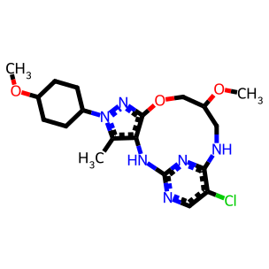 COC1CCC(n2nc3c(c2C)Nc2ncc(Cl)c(n2)NCC(OC)CO3)CC1